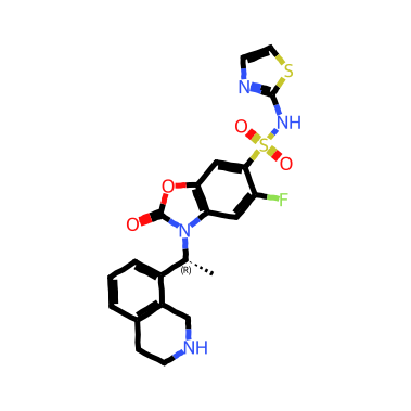 C[C@H](c1cccc2c1CNCC2)n1c(=O)oc2cc(S(=O)(=O)Nc3nccs3)c(F)cc21